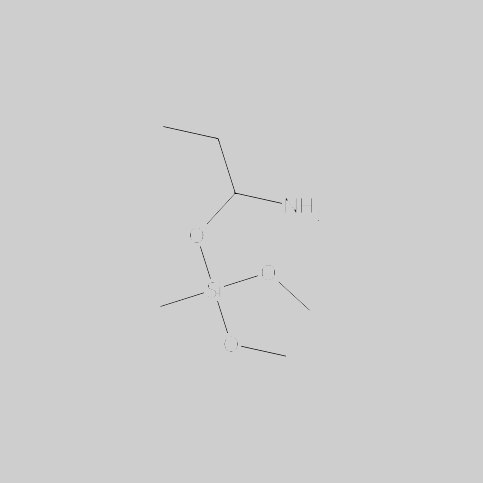 CCC(N)O[Si](C)(OC)OC